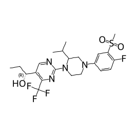 CC[C@@H](O)c1cnc(N2CCN(c3ccc(F)c(S(C)(=O)=O)c3)CC2C(C)C)nc1C(F)(F)F